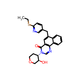 CCSc1ccc(Cc2cc3c(=O)n([C@H]4CCOC[C@@H]4O)cnc3c3ccccc23)cn1